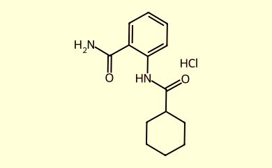 Cl.NC(=O)c1ccccc1NC(=O)C1CCCCC1